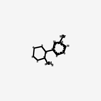 NC1CCCCC1c1cccc(Br)c1